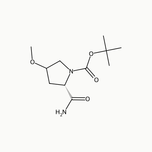 COC1C[C@@H](C(N)=O)N(C(=O)OC(C)(C)C)C1